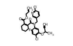 C#CC(C)Oc1cc(N(Cc2ccc(Cl)nc2)C(=O)C2=C(C(=O)OCC=C)CCCC2)c(F)cc1Cl